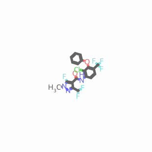 Cn1nc(C(F)F)c(C(=O)Nc2ccc(C(F)(F)F)c(Oc3ccccc3)c2Cl)c1F